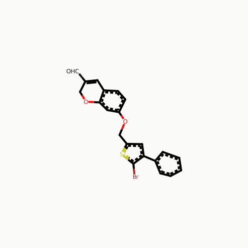 O=CC1=Cc2ccc(OCc3cc(-c4ccccc4)c(Br)s3)cc2OC1